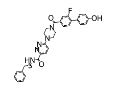 O=C(NSCc1ccccc1)c1ccc(N2CCN(C(=O)c3ccc(-c4ccc(O)cc4)c(F)c3)CC2)nn1